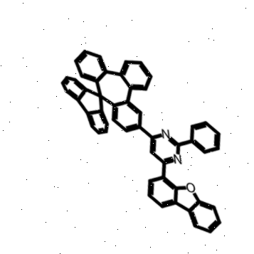 c1ccc(-c2nc(-c3ccc4c(c3)-c3ccccc3-c3ccccc3C43c4ccccc4-c4ccccc43)cc(-c3cccc4c3oc3ccccc34)n2)cc1